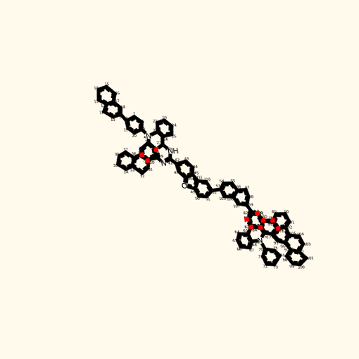 c1ccc(N(c2ccc(-c3ccc4ccccc4c3)cc2)c2ccccc2C2N=C(c3ccc4ccccc4c3)N=C(c3ccc4c(c3)oc3ccc(-c5ccc6ccc(-c7nc(-c8ccccc8N(c8ccccc8)c8cccc9ccccc89)nc(-c8cccc9c8ccc8c%10ccccc%10ccc98)n7)cc6c5)cc34)N2)cc1